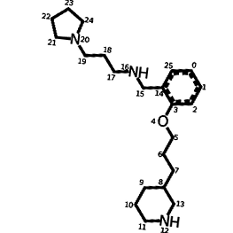 c1ccc(OCCCC2CCCNC2)c(CNCCCN2CCCC2)c1